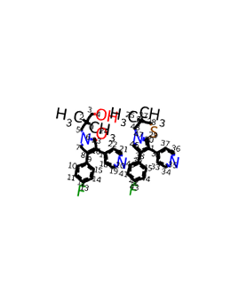 CC(C)(CO)CN1CC(c2ccc(F)cc2)=C(c2ccncc2)C1=O.CC1(C)CSc2c(-c3ccncc3)c(-c3ccc(F)cc3)cn2C1